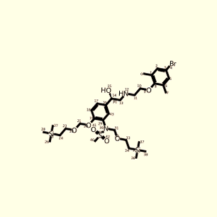 Cc1cc(Br)cc(C)c1OCCNC[C@H](O)c1ccc(OCOCC[Si](C)(C)C)c(N(COCC[Si](C)(C)C)S(C)(=O)=O)c1